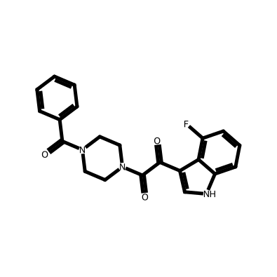 O=C(C(=O)N1CCN(C(=O)c2ccccc2)CC1)c1c[nH]c2cccc(F)c12